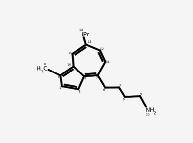 Cc1ccc2c(CCCCN)ccc(C(C)C)cc1-2